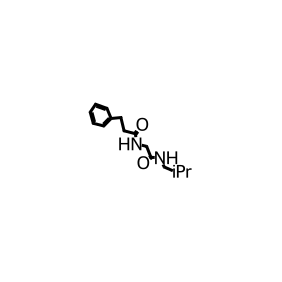 CC(C)CNC(=O)CNC(=O)CCc1ccccc1